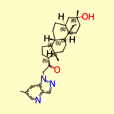 CC[C@]12CC[C@@](C)(O)C[C@@H]1CC[C@H]1[C@@H]3CC[C@H](C(=O)Cn4ncc5ncc(C)cc54)[C@@]3(C)CC[C@@H]12